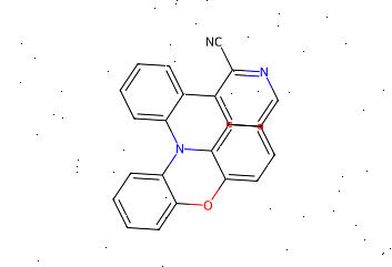 N#Cc1ncccc1-c1ccccc1N1c2ccccc2Oc2ccccc21